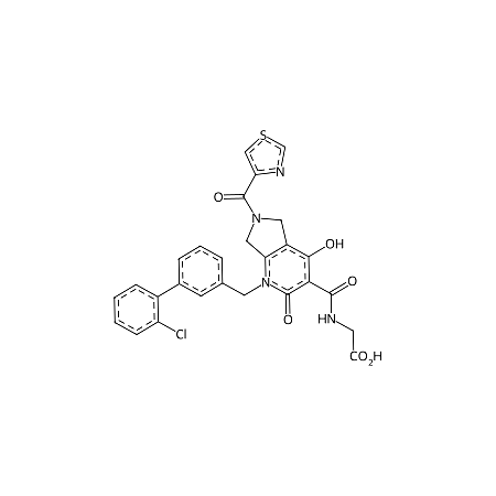 O=C(O)CNC(=O)c1c(O)c2c(n(Cc3cccc(-c4ccccc4Cl)c3)c1=O)CN(C(=O)c1cscn1)C2